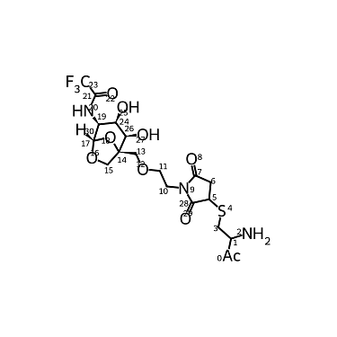 CC(=O)C(N)CSC1CC(=O)N(CCOC[C@@]23CO[C@@H](O2)[C@@H](NC(=O)C(F)(F)F)[C@@H](O)[C@H]3O)C1=O